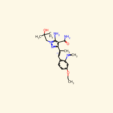 C=Nc1cc(OCC)ccc1/C=C(\C)c1nn(CC(C)(C)O)c(N)c1C(N)=O